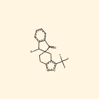 O=C1c2ccccc2C(Br)C12CCc1noc(C(F)(F)F)c1C2